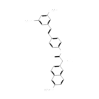 COc1cc(/C=C/c2ccc(OC(=O)[C@H](C)c3ccc4cc(OC)ccc4c3)cc2)cc(OC)c1